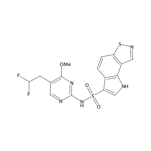 COc1nc(NS(=O)(=O)c2c[nH]c3c2ccc2sncc23)ncc1CC(F)F